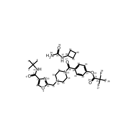 CC(C)(C)NC(=O)c1coc(CN2CCN(C(=O)c3ccc(OC(=O)C(F)(F)F)cc3)CC2)n1.NC(=O)NC1CCC1